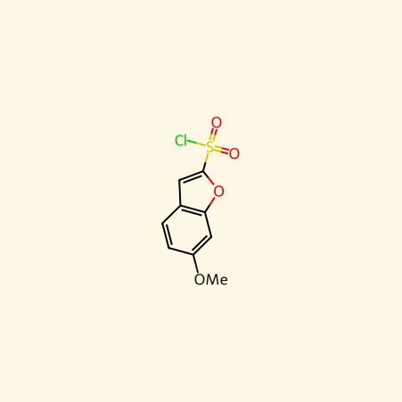 COc1ccc2cc(S(=O)(=O)Cl)oc2c1